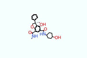 CNC(=O)c1cc(C(=O)NC2CCC(O)CC2)cc2c1OC[C@@]2(CO)c1ccccc1